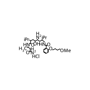 COCCCCOc1ccccc1C(=O)NCC(CC(N)C(O)CC(C(=O)NC(C)CC(N)=O)C(C)C)C(C)C.Cl